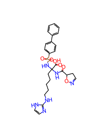 O=C(NC(CCCCCNc1ncc[nH]1)(NS(=O)(=O)c1ccc(-c2ccccc2)cc1)C(=O)O)C1CC=NO1